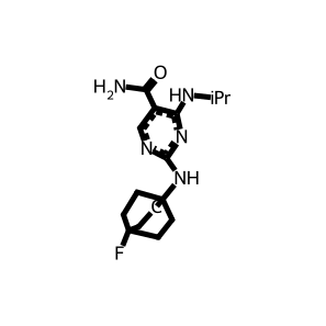 CC(C)Nc1nc(NC23CCC(F)(CC2)CC3)ncc1C(N)=O